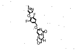 Cn1cc(Oc2c(F)cc(COc3cc4n(c(=O)n3)C[C@@H]3COCN43)cc2F)cn1